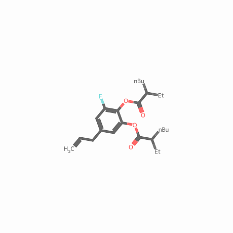 C=CCc1cc(F)c(OC(=O)C(CC)CCCC)c(OC(=O)C(CC)CCCC)c1